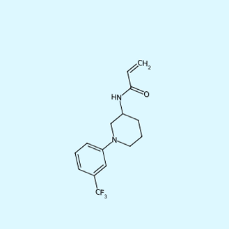 C=CC(=O)NC1CCCN(c2cccc(C(F)(F)F)c2)C1